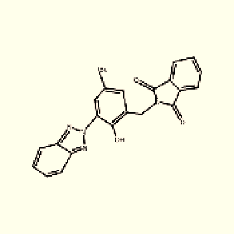 CC(C)(C)c1cc(CN2C(=O)c3ccccc3C2=O)c(O)c(-n2nc3ccccc3n2)c1